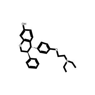 CCN(CC)CCOc1ccc([C@H]2c3ccc(O)cc3OC[C@@H]2c2ccccc2)cc1